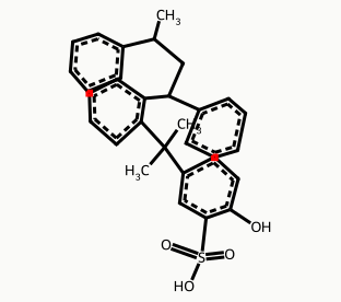 CC(CC(c1ccccc1)c1ccccc1C(C)(C)c1ccc(O)c(S(=O)(=O)O)c1)c1ccccc1